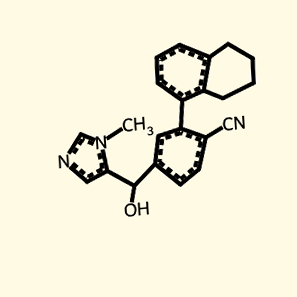 Cn1cncc1C(O)c1ccc(C#N)c(-c2cccc3c2CCCC3)c1